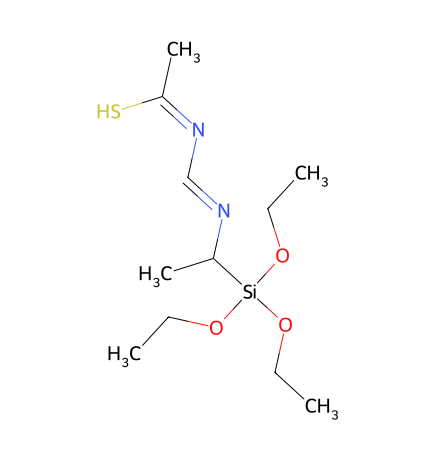 CCO[Si](OCC)(OCC)C(C)N=CN=C(C)S